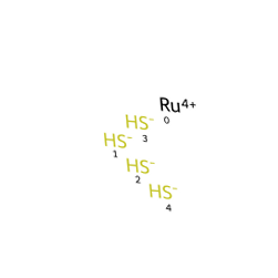 [Ru+4].[SH-].[SH-].[SH-].[SH-]